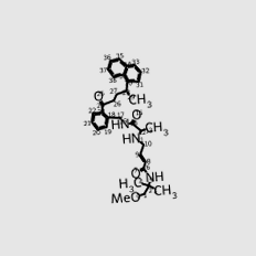 COCC(C)(C)NC(=O)/C=C/CNC(C)C(=O)NCc1ccccc1C(=O)CCC(C)c1cccc2ccccc12